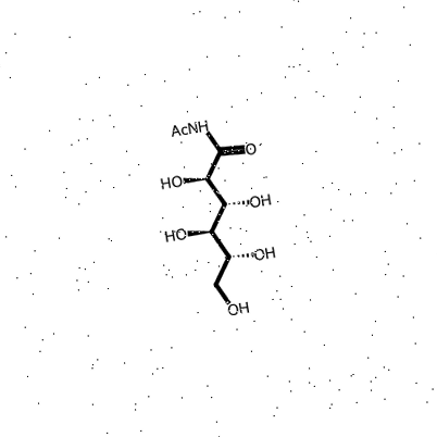 CC(=O)NC(=O)[C@H](O)[C@H](O)[C@H](O)[C@H](O)CO